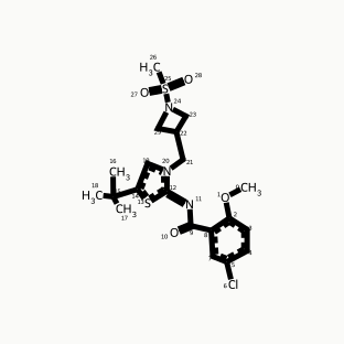 COc1ccc(Cl)cc1C(=O)N=c1sc(C(C)(C)C)cn1CC1CN(S(C)(=O)=O)C1